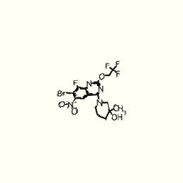 CC1(O)CCCN(c2nc(OCC(F)(F)F)nc3c(F)c(Br)c([N+](=O)[O-])cc23)C1